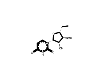 O=c1ccn([C@@H]2O[C@H](CI)[C@@H](O)[C@@H]2O)c(=O)[nH]1